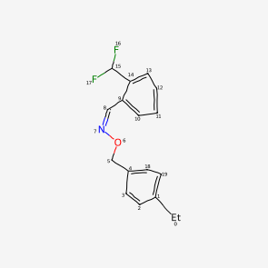 CCc1ccc(CO/N=[C]\c2ccccc2C(F)F)cc1